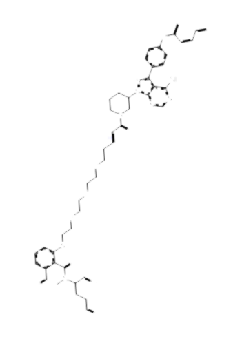 C=C/C=C\C(=C)Oc1ccc(-c2nn(C3CCCN(C(=O)/C=C/CCOCCOCCOCCNc4cccc(C=O)c4C(=O)N(C)C(C=O)CCC=O)C3)c3ncnc(N)c23)cc1